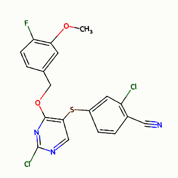 COc1cc(COc2nc(Cl)ncc2Sc2ccc(C#N)c(Cl)c2)ccc1F